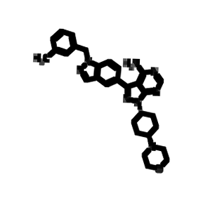 Cc1cccc(Cn2ncc3cc(-c4nn([C@H]5CC[C@H](N6CCOCC6)CC5)c5ncnc(N)c45)ccc32)c1